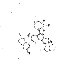 [2H]C([2H])(Oc1nc(N2CCOC[C@H]3[C@H](F)[C@H]32)c2cc(F)c(-c3cc(O)cc4ccc(F)c(C#C)c34)c(C)c2n1)[C@@]12CCCN1C[C@H](F)C2